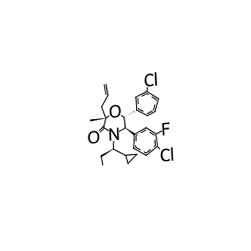 C=CC[C@]1(C)O[C@H](c2cccc(Cl)c2)[C@@H](c2ccc(Cl)c(F)c2)N([C@H](CC)C2CC2)C1=O